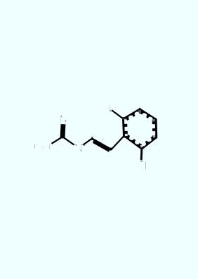 CC(C)(C)C(=N)N/C=C/c1c(Cl)cccc1Cl